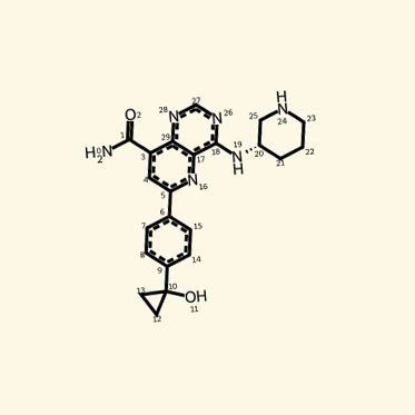 NC(=O)c1cc(-c2ccc(C3(O)CC3)cc2)nc2c(N[C@H]3CCCNC3)ncnc12